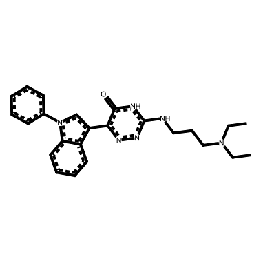 CCN(CC)CCCNc1nnc(-c2cn(-c3ccccc3)c3ccccc23)c(=O)[nH]1